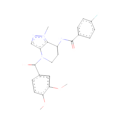 COc1ccc(C(O)N2CCC(NC(=O)c3ccc(F)cc3)c3c2cnn3C)cc1OC